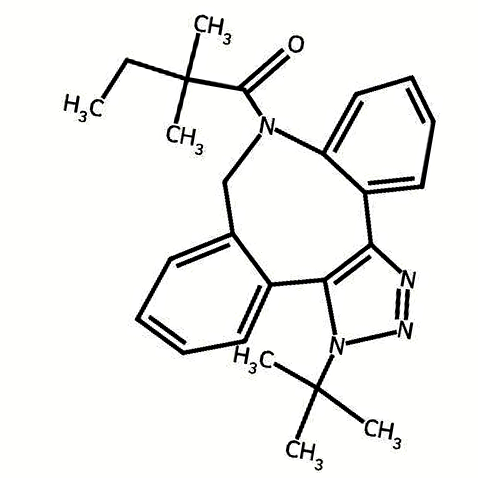 CCC(C)(C)C(=O)N1Cc2ccccc2-c2c(nnn2C(C)(C)C)-c2ccccc21